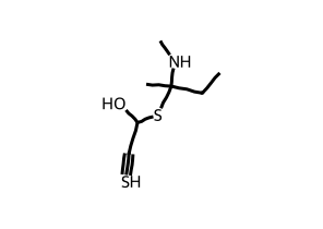 CCC(C)(NC)SC(O)C#[SH]